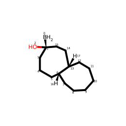 B[C@]1(O)CCC[C@H]2CCCCCC[C@H]2CC1